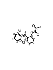 CC(=O)C(=O)Oc1ccccc1Nc1c(Cl)cccc1Cl